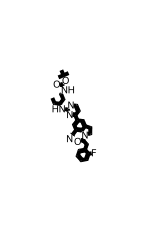 CCC(CCNC(=O)OC(C)(C)C)Nc1nccc(-c2cc(C#N)c3c(c2)CCN3C(=O)Cc2ccccc2F)n1